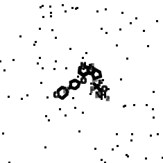 NC(=O)C(F)(F)C[C@H]1CCc2sc3nccc(O[C@H]4CC[C@H](N5CCOCC5)CC4)c3c21